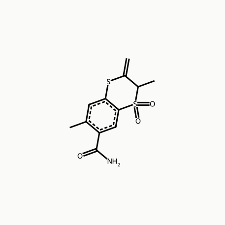 C=C1Sc2cc(C)c(C(N)=O)cc2S(=O)(=O)C1C